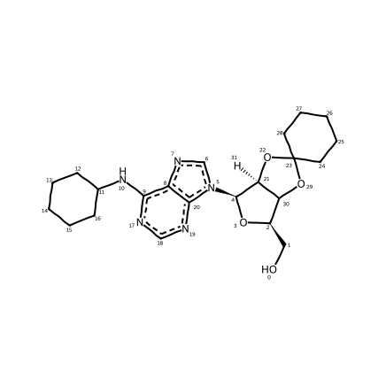 OC[C@H]1O[C@@H](n2cnc3c(NC4CCCCC4)ncnc32)[C@H]2OC3(CCCCC3)OC12